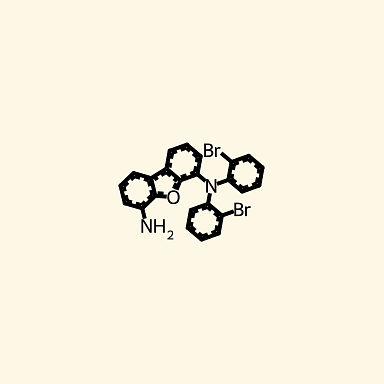 Nc1cccc2c1oc1c(N(c3ccccc3Br)c3ccccc3Br)cccc12